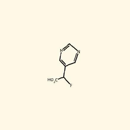 O=C(O)C(F)c1cncnc1